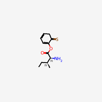 CC[C@H](C)[C@H](N)C(=O)OC1=CC=CCC1=S